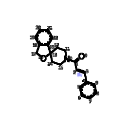 O=C(/C=C/c1ccccc1)N1CCC2(CC1)OCc1ccccc12